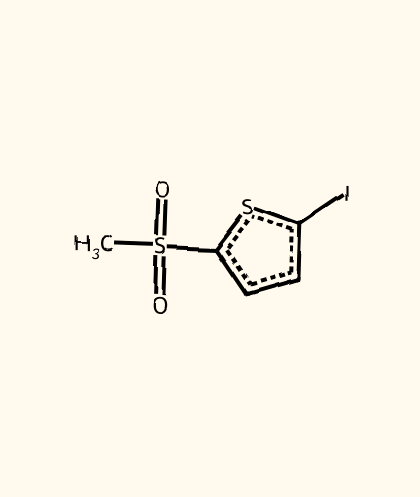 CS(=O)(=O)c1ccc(I)s1